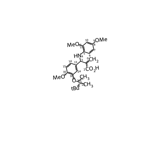 C=C(C(=O)O)C(Nc1ccc(OC)cc1OC)c1ccc(OC)c(O[Si](C)(C)C(C)(C)C)c1